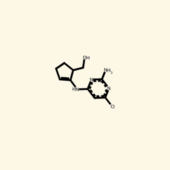 Nc1nc(Cl)cc(NC2=CCCC2CO)n1